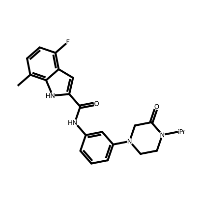 Cc1ccc(F)c2cc(C(=O)Nc3cccc(N4CCN(C(C)C)C(=O)C4)c3)[nH]c12